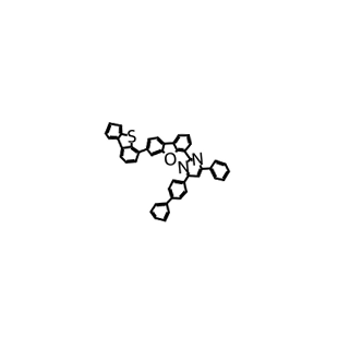 c1ccc(-c2ccc(-c3cc(-c4ccccc4)nc(-c4cccc5c4oc4cc(-c6cccc7c6sc6ccccc67)ccc45)n3)cc2)cc1